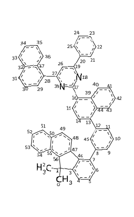 CC1(C)c2cccc(-c3cccc(-c4ccc(-c5nc(-c6ccccc6)cc(-c6cccc7ccccc67)n5)c5ccccc45)c3)c2-c2ccc3ccccc3c21